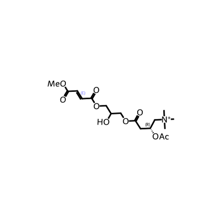 COC(=O)/C=C/C(=O)OCC(O)COC(=O)C[C@H](C[N+](C)(C)C)OC(C)=O